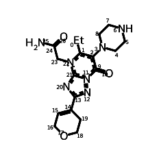 CCc1c(N2CCNCC2)c(=O)n2nc(C3=CCOCC3)nc2n1CC(N)=O